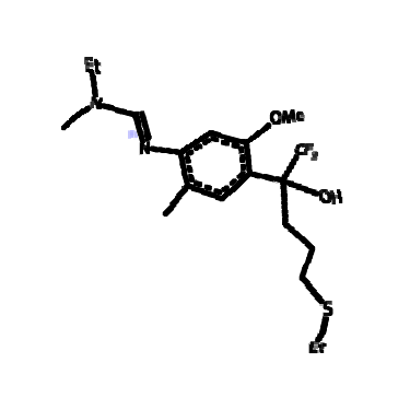 CCSCCCC(O)(c1cc(C)c(/N=C/N(C)CC)cc1OC)C(F)(F)F